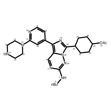 CCCCNc1ncc2c(-c3ccnc(N4CCNCC4)c3)nc(C3CCC(OC(C)=O)CC3)n2n1